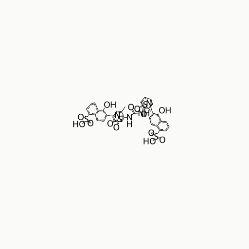 Cc1c2ccc(c1NC(=O)Nc1c3ccc(c1C)N(c1ccc4c(S(=O)(=O)O)cccc4c1O)S3(=O)=O)S(=O)(=O)N2c1ccc2c(S(=O)(=O)O)cccc2c1O